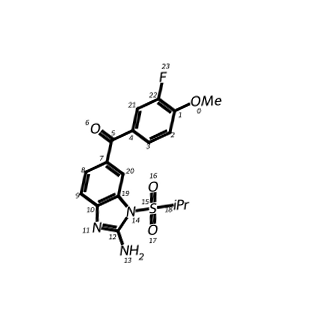 COc1ccc(C(=O)c2ccc3nc(N)n(S(=O)(=O)C(C)C)c3c2)cc1F